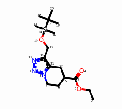 CCOC(=O)C1CCn2nnc(CO[Si](C)(C)C(C)(C)C)c2C1